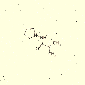 CN(C)C(=O)NN1CCCC1